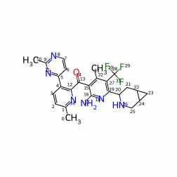 Cc1ccc(-c2ccnc(C)n2)c(C(=O)c2c(N)nc(C3CC4CC4CN3)c(C(F)(F)F)c2C)n1